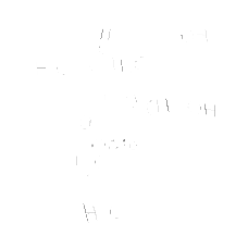 C=C(C)C(=O)OOC.C=CC.C=CC.OCCO